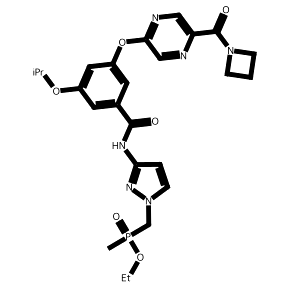 CCOP(C)(=O)Cn1ccc(NC(=O)c2cc(Oc3cnc(C(=O)N4CCC4)cn3)cc(OC(C)C)c2)n1